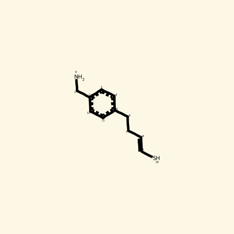 NCc1ccc(CC/C=C/S)cc1